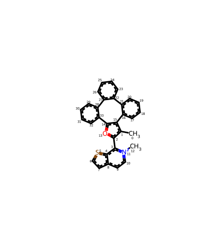 Cc1c(-c2c3sccc3cc[n+]2C)oc2c1-c1ccccc1-c1ccccc1-c1ccccc1-2